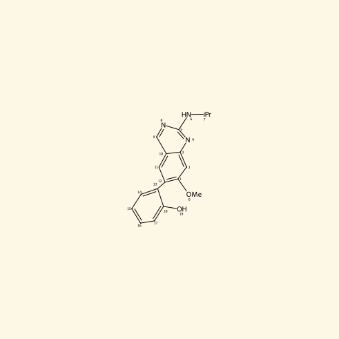 COc1cc2nc(NC(C)C)ncc2cc1-c1ccccc1O